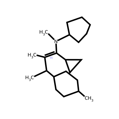 C/C(=C(/C1CC1)N(C)C1CCCCC1)C(C)C1CCC(C)CC1